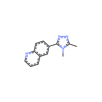 Cc1nnc(-c2ccc3ncccc3c2)n1C